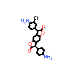 CCc1cc(C2=c3cc4c(cc3OC2=O)=C(c2ccc(N)cc2)C(=O)O4)ccc1N